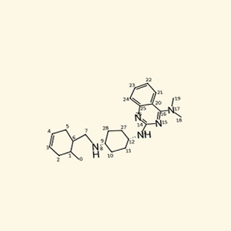 CC1CC=CCC1CN[C@H]1CC[C@@H](Nc2nc(N(C)C)c3ccccc3n2)CC1